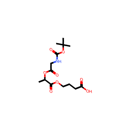 CC(OC(=O)CNC(=O)OC(C)(C)C)C(=O)OCCCC(=O)O